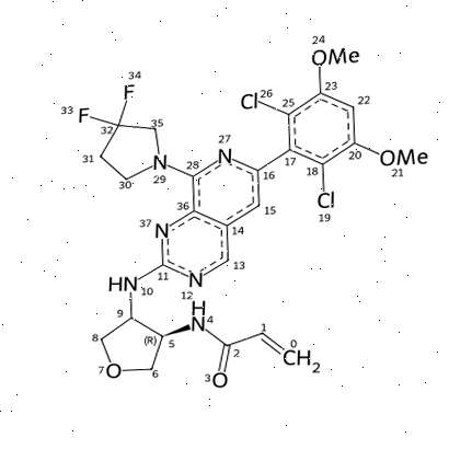 C=CC(=O)N[C@H]1COCC1Nc1ncc2cc(-c3c(Cl)c(OC)cc(OC)c3Cl)nc(N3CCC(F)(F)C3)c2n1